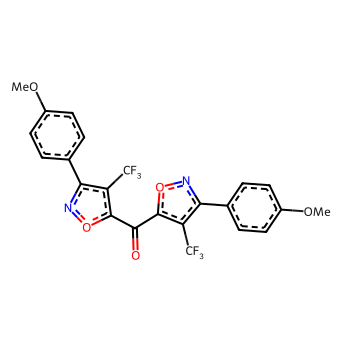 COc1ccc(-c2noc(C(=O)c3onc(-c4ccc(OC)cc4)c3C(F)(F)F)c2C(F)(F)F)cc1